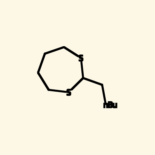 CCCCCC1SCCCCS1